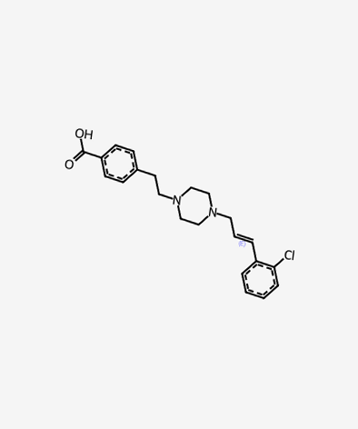 O=C(O)c1ccc(CCN2CCN(C/C=C/c3ccccc3Cl)CC2)cc1